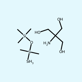 C[Si](C)(C)O[Si](C)(C)[SiH3].NC(CO)(CO)CO